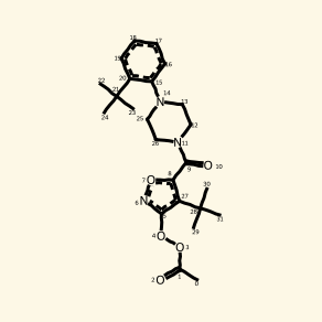 CC(=O)OOc1noc(C(=O)N2CCN(c3ccccc3C(C)(C)C)CC2)c1C(C)(C)C